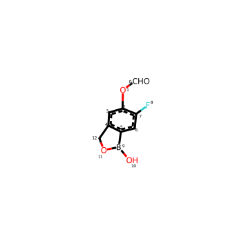 O=COc1cc2c(cc1F)B(O)OC2